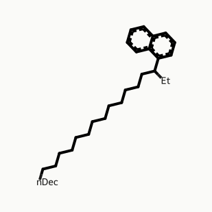 CCCCCCCCCCCCCCCCCCCCCCCC(CC)c1cccc2ccccc12